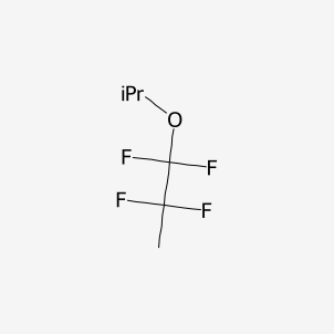 CC(C)OC(F)(F)C(C)(F)F